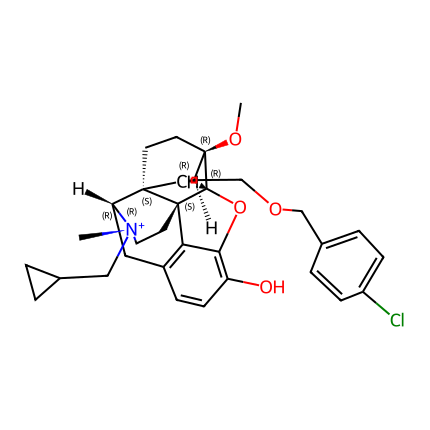 CO[C@]12CC[C@@]3(C[C@@H]1COCc1ccc(Cl)cc1)[C@H]1Cc4ccc(O)c5c4[C@@]3(CC[N@+]1(C)CC1CC1)[C@H]2O5